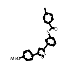 COc1ccc(-c2cc(-c3cccc(NC(=O)c4ccc(C)cc4)c3)no2)cc1